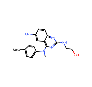 COc1ccc(N(C)c2nc(NCCO)nc3ccc(N)cc23)cc1